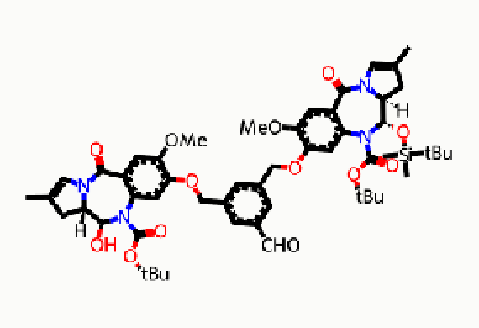 COc1cc2c(cc1OCc1cc(C=O)cc(COc3cc4c(cc3OC)C(=O)N3C=C(C)C[C@H]3[C@H](O[Si](C)(C)C(C)(C)C)N4C(=O)OC(C)(C)C)c1)N(C(=O)OC(C)(C)C)[C@@H](O)[C@@H]1CC(C)=CN1C2=O